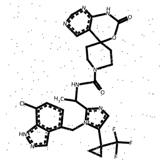 CC(NC(=O)N1CCC2(CC1)OC(=O)Nc1ncncc12)c1ncc(C2(C(F)(F)F)CC2)n1Cc1ccc(Cl)c2[nH]ncc12